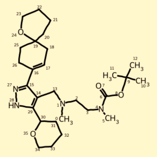 CN(CCN(C)C(=O)OC(C)(C)C)Cc1c(C2=CCC3(CCCCO3)CC2)n[nH]c1C1CCCCO1